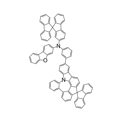 c1cc(-c2ccc3c(c2)c2ccc4c5c2n3-c2ccccc2-c2cccc(c2-5)C42c3ccccc3-c3ccccc32)cc(N(c2ccc3c(c2)C2(c4ccccc4-c4ccccc42)c2ccccc2-3)c2ccc3c(c2)oc2ccccc23)c1